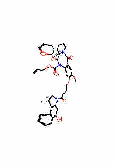 C=CCOC(=O)N1c2cc(OCCCC(=O)N3C[C@@H](C)c4c3cc(O)c3ccccc43)c(OC)cc2C(=O)N2CCCC[C@H]2C1OC1CCCCO1